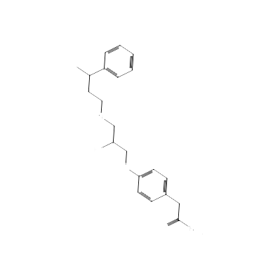 CC(CCNCC(O)COc1ccc(CC(N)=O)cc1)c1ccccc1